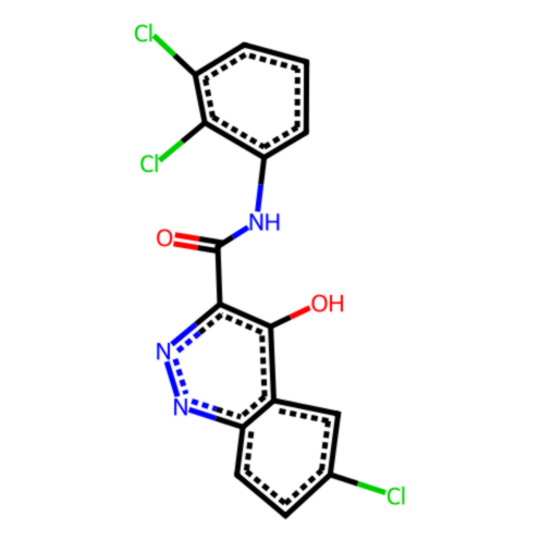 O=C(Nc1cccc(Cl)c1Cl)c1nnc2ccc(Cl)cc2c1O